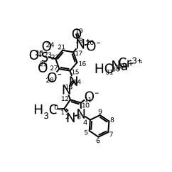 Cc1nn(-c2ccccc2)c([O-])c1N=Nc1cc([N+](=O)[O-])cc(S(=O)(=O)[O-])c1[O-].[Cr+3].[Na+].[OH-]